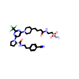 N#Cc1ccc(CCNC(=O)[C@@H]2CCCN2c2cc(N3CCC(CCCC(=O)NCCS(N)(=O)=O)CC3)nc(C(F)(F)F)n2)cc1